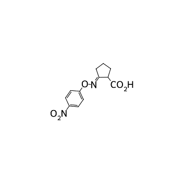 O=C(O)C1CCCC1=NOc1ccc([N+](=O)[O-])cc1